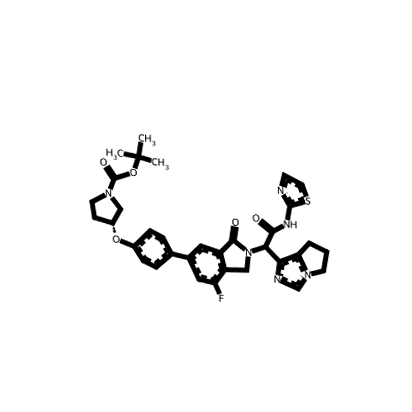 CC(C)(C)OC(=O)N1CC[C@@H](Oc2ccc(-c3cc(F)c4c(c3)C(=O)N(C(C(=O)Nc3nccs3)c3ncn5c3CCC5)C4)cc2)C1